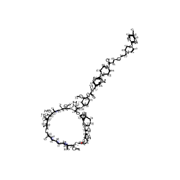 CO[C@H]1C[C@@H]2CC[C@@H](C)[C@@](O)(O2)C(=O)C(=O)N2CCCC[C@H]2C(=O)O[C@H]([C@H](N)C[C@@H]2CC[C@@H](OC(=S)NCc3cnc(N4CCN(C(=O)CCOCCN5CCN(c6ncc(C)cn6)CC5)CC4)nc3)[C@H](OC)C2)C[C@@H](OC)[C@H](C)/C=C(\C)[C@@H](O)[C@@H](O)C(=O)[C@H](C)C[C@H](C)/C=C/C=C/C=C/1C